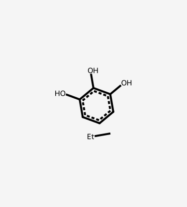 CCC.Oc1cccc(O)c1O